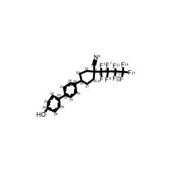 N#CC1(C(F)(F)C(F)(F)C(F)(F)C(F)(F)F)CCC(c2ccc(-c3ccc(O)cc3)cc2)CC1